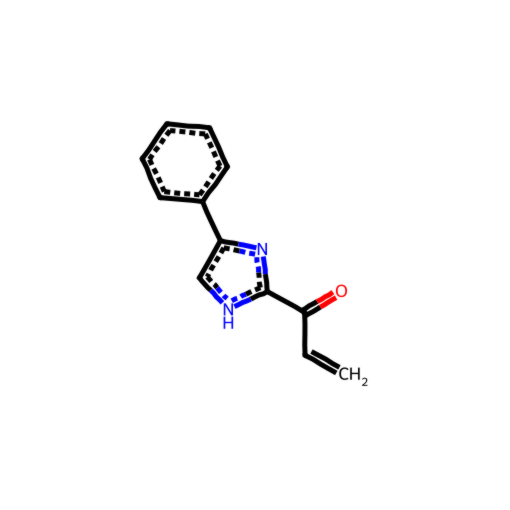 C=CC(=O)c1nc(-c2ccccc2)c[nH]1